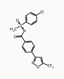 CS(=O)(=NC(=O)c1ccc(-c2cc(C(F)(F)F)on2)cc1)c1ccc(Cl)cc1